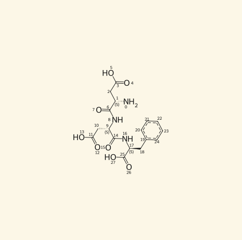 N[C@@H](CC(=O)O)C(=O)N[C@@H](CC(=O)O)C(=O)N[C@@H](Cc1ccccc1)C(=O)O